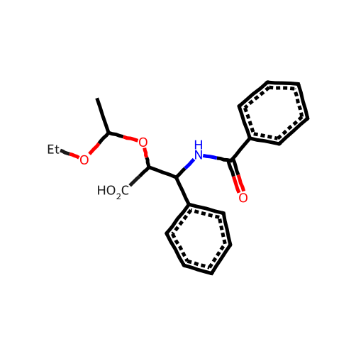 CCOC(C)OC(C(=O)O)C(NC(=O)c1ccccc1)c1ccccc1